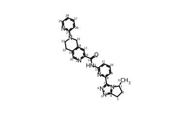 C[C@H]1CCc2nnc(-c3cccc(NC(=O)c4cc5c(cn4)CCN(c4ccccn4)C5)n3)n21